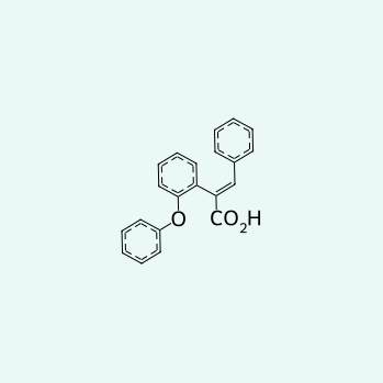 O=C(O)C(=Cc1ccccc1)c1ccccc1Oc1ccccc1